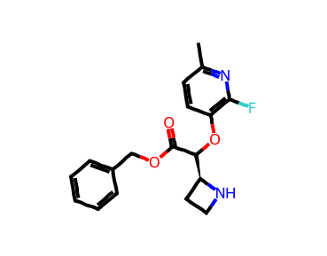 Cc1ccc(OC(C(=O)OCc2ccccc2)[C@@H]2CCN2)c(F)n1